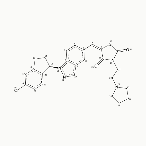 O=C1SC(=Cc2ccc3c(cnn3[C@@H]3CCc4cc(Cl)ccc43)c2)C(=O)N1CCN1CCCC1